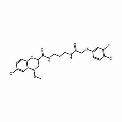 CSN1CC(C(=O)NCCCNC(=O)COc2ccc(Cl)c(F)c2)Oc2ccc(Cl)cc21